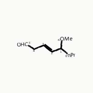 CCCC(/C=C/CC=O)OC